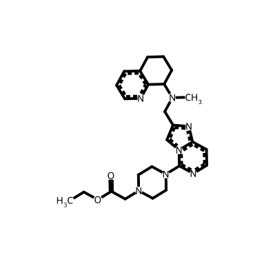 CCOC(=O)CN1CCN(c2nccc3nc(CN(C)C4CCCc5cccnc54)cn23)CC1